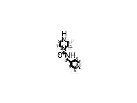 O=C(NCc1ccncc1)N1CCNCC1